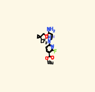 CC(C)(C)OC(=O)c1ccc(N/C=C\C(N)OCC2(C(F)(F)F)CC2)nc1F